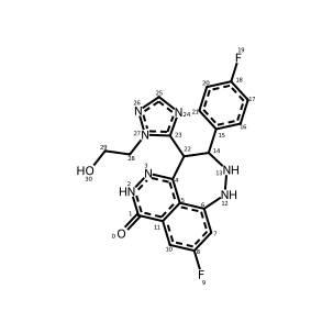 O=c1[nH]nc2c3c(cc(F)cc13)NNC(c1ccc(F)cc1)C2c1ncnn1CCO